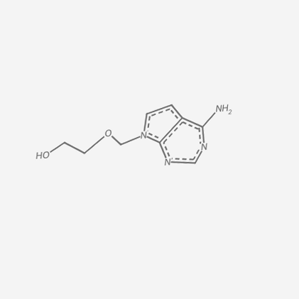 Nc1ncnc2c1ccn2COCCO